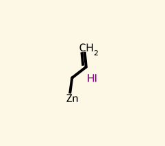 C=C[CH2][Zn].I